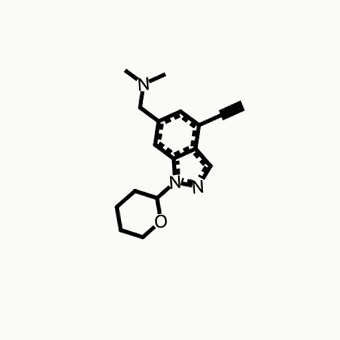 C#Cc1cc(CN(C)C)cc2c1cnn2C1CCCCO1